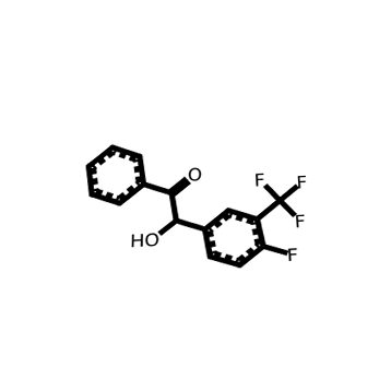 O=C(c1ccccc1)C(O)c1ccc(F)c(C(F)(F)F)c1